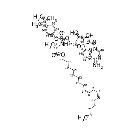 CCCCC/C=C\C/C=C\CCCCCCCCOC(=O)[C@H](C)NP(=O)(OC[C@H]1O[C@@](C#N)(c2ccc3c(N)ncnn23)[C@H](O)[C@@H]1O)Oc1ccc(C(C)(C)C)cc1